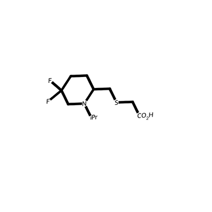 CC(C)N1CC(F)(F)CCC1CSCC(=O)O